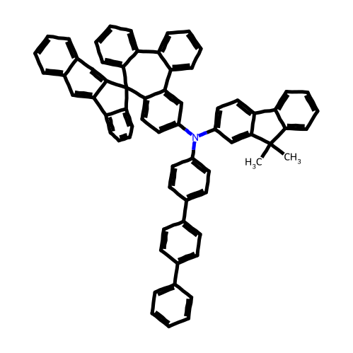 CC1(C)c2ccccc2-c2ccc(N(c3ccc(-c4ccc(-c5ccccc5)cc4)cc3)c3ccc4c(c3)-c3ccccc3-c3ccccc3C43c4ccccc4-c4cc5ccccc5cc43)cc21